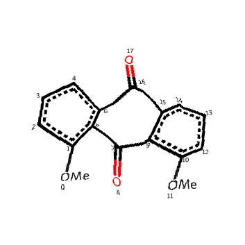 COc1cccc2c1C(=O)c1c(OC)cccc1C2=O